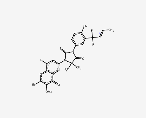 C/C=C/C(F)(F)c1cc(N2C(=O)C(C)(C)N(c3cc(F)c4nc(CC)c(OC)c(=O)n4c3)C2=S)ccc1C#N